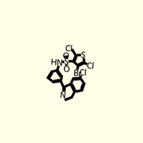 O=S(=O)(Nc1cccc(C2=NCCc3ccc(Cl)cc32)c1)c1c(Cl)sc(Cl)c1Br